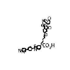 CN(C)c1ccc(-c2ccc(-c3nc4ccc(N(CCCCCOc5ccc6c(c5)C(=O)N(C5CCC(=O)NC5=O)C6=O)C(=O)O)cc4s3)cc2)cn1